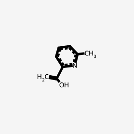 C=C(O)c1cccc(C)n1